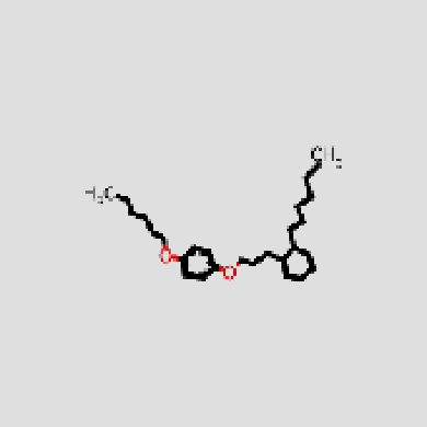 CCCCCCCC1CCCCC1CCCOc1ccc(OCCCCCC)cc1